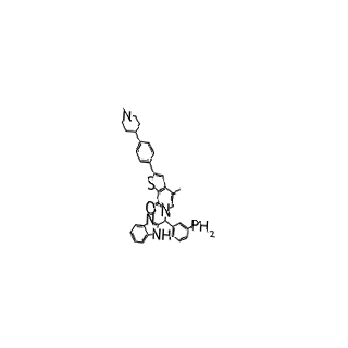 Cc1cn(C(c2cccc(P)c2)c2nc3ccccc3[nH]2)c(=O)c2sc(-c3ccc(C4CCN(C)CC4)cc3)cc12